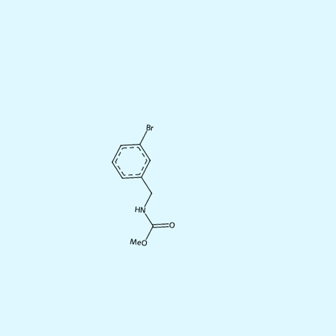 COC(=O)NCc1cccc(Br)c1